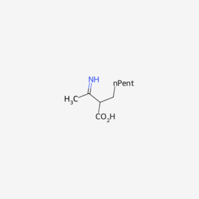 CCCCCCC(C(C)=N)C(=O)O